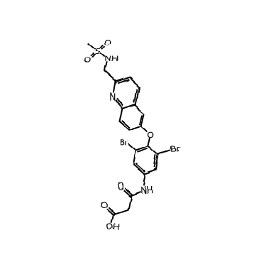 CS(=O)(=O)NCc1ccc2cc(Oc3c(Br)cc(NC(=O)CC(=O)O)cc3Br)ccc2n1